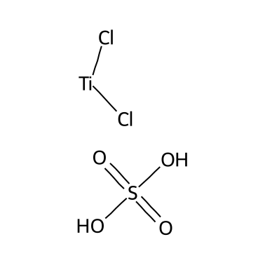 O=S(=O)(O)O.[Cl][Ti][Cl]